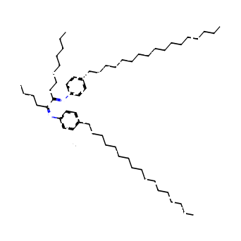 CCCCCCCCCCCCCCCCCc1ccc(N=C(CCCC)C(CCCCCCCC)=Nc2ccc(CCCCCCCCCCCCCCCCC)cc2)cc1.[Ni]